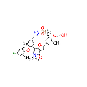 Cc1cc(-c2cc3c(=O)n(C)cc(-c4cc(CCN[SH](=O)=O)ccc4Oc4c(C)cc(F)cc4C)c3o2)cc(C)c1OCCO